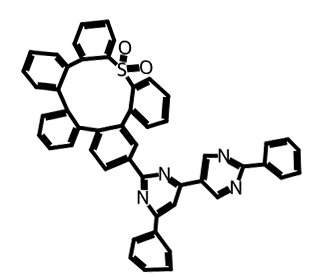 O=S1(=O)c2ccccc2-c2ccccc2-c2ccccc2-c2ccc(-c3nc(-c4ccccc4)cc(-c4cnc(-c5ccccc5)nc4)n3)cc2-c2ccccc21